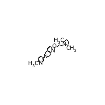 Cc1ccc(N2CCc3nc(OCCCN4C(C)CCC4C)ccc3C2)cn1